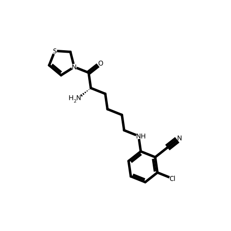 N#Cc1c(Cl)cccc1NCCCC[C@H](N)C(=O)N1C=CSC1